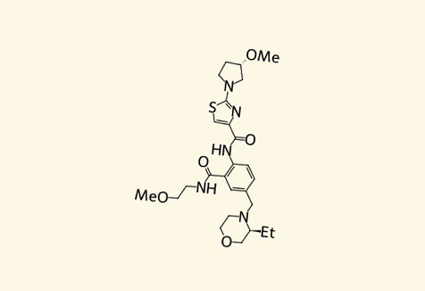 CC[C@H]1COCCN1Cc1ccc(NC(=O)c2csc(N3CC[C@H](OC)C3)n2)c(C(=O)NCCOC)c1